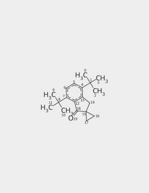 CC(C)(C)c1ccc(C(C)(C)C)c2c1CC1(CC1)C2=O